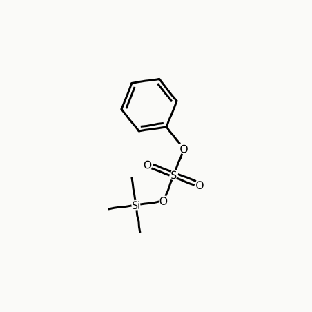 C[Si](C)(C)OS(=O)(=O)Oc1ccccc1